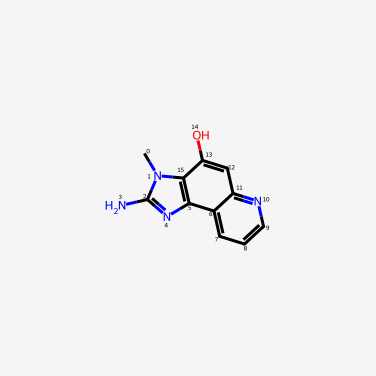 Cn1c(N)nc2c3cccnc3cc(O)c21